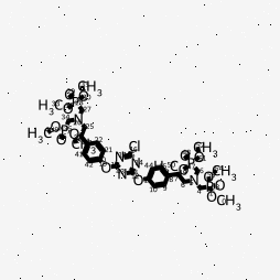 COP(=O)(CN(CCc1ccc(Oc2nc(Cl)nc(Oc3ccc(CCN(CP(=O)(OC)OC)CP(=O)(OC)OC)cc3)n2)cc1)CP(=O)(OC)OC)OC